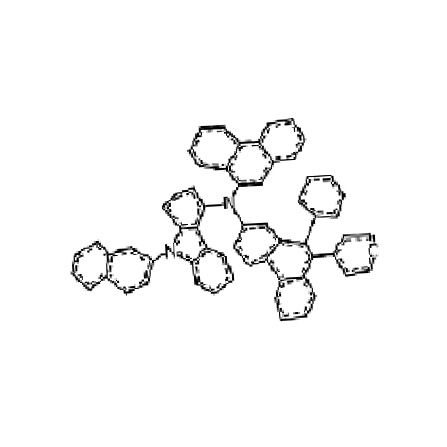 c1ccc(-c2c(-c3ccccc3)c3cc(N(c4cc5ccccc5c5ccccc45)c4cccc5c4c4ccccc4n5-c4ccc5ccccc5c4)ccc3c3ccccc23)cc1